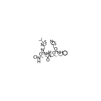 CC(C)C1=NC(CN(C)C(=O)N[C@@H](CCNCl)C(=O)NCCC[C@@H](Cc2ccccc2)NC(=O)OCc2cncs2)CS1